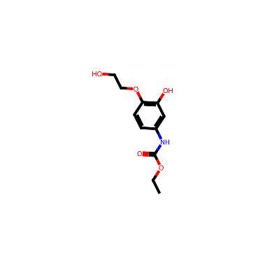 CCOC(=O)Nc1ccc(OCCO)c(O)c1